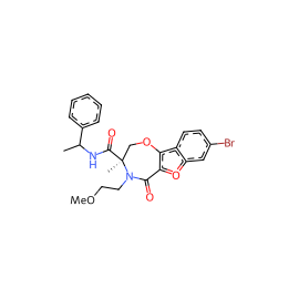 COCCN1C(=O)c2oc3cc(Br)ccc3c2OC[C@]1(C)C(=O)NC(C)c1ccccc1